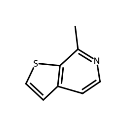 Cc1nccc2ccsc12